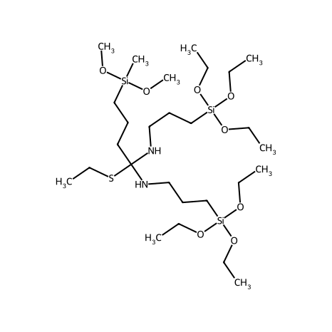 CCO[Si](CCCNC(CCC[Si](C)(OC)OC)(NCCC[Si](OCC)(OCC)OCC)SCC)(OCC)OCC